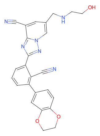 N#Cc1c(-c2ccc3c(c2)OCCO3)cccc1-c1nc2c(C#N)cc(CNCCO)cn2n1